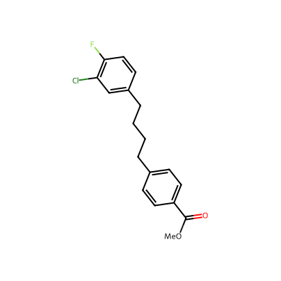 COC(=O)c1ccc(CCCCc2ccc(F)c(Cl)c2)cc1